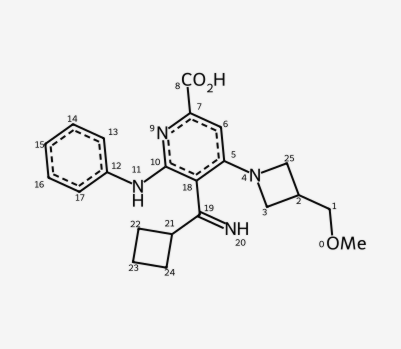 COCC1CN(c2cc(C(=O)O)nc(Nc3ccccc3)c2C(=N)C2CCC2)C1